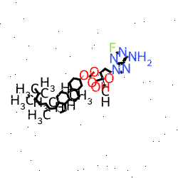 C#C[C@]1(CO)O[C@@H](n2cnc3c(N)nc(F)nc32)C[C@@H]1OC(=O)O[C@H]1CC[C@@]2(C)C(=CC[C@H]3[C@@H]4CC[C@H]([C@H](C)CC[C@@H](C)C(C)C)[C@@]4(C)CC[C@@H]32)C1